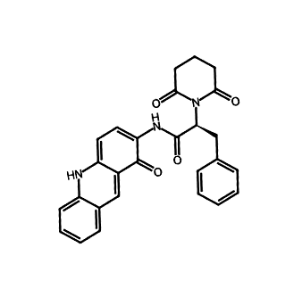 O=C(Nc1ccc2[nH]c3ccccc3cc-2c1=O)[C@H](Cc1ccccc1)N1C(=O)CCCC1=O